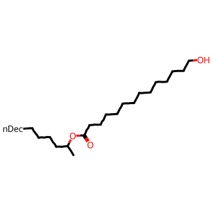 CCCCCCCCCCCCCCC(C)OC(=O)CCCCCCCCCCCCCO